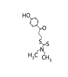 CCN(CC)C(=S)SCCC(=O)c1ccc(O)cc1